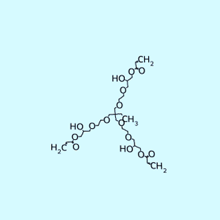 C=CC(=O)OCC(O)COCCOCC(CC)(COCCOCC(O)COC(=O)C=C)COCCOCC(O)COC(=O)C=C